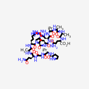 CC(C)[C@H](NC(=O)[C@@H]1CCCN1)C(=O)NCC(=O)N[C@@H](CCC(N)=O)C(=O)N[C@@H](C)C(=O)N[C@@H](CCCCN)C(=O)N1CCC[C@H]1C(=O)N[C@@H](CCCNC(=N)N)C(=O)N[C@@H](CCCCN)C(=O)N[C@H](C(=O)N[C@@H](C)C(=O)N[C@@H](C)C(=O)N[C@@H](CCC(N)=O)C(=O)O)C(C)C